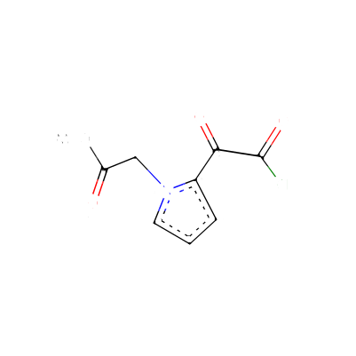 COC(=O)Cn1cccc1C(=O)C(=O)Cl